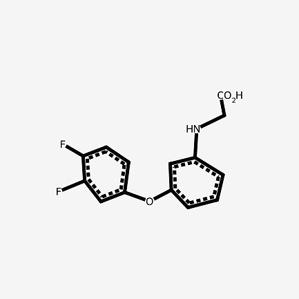 O=C(O)CNc1cccc(Oc2ccc(F)c(F)c2)c1